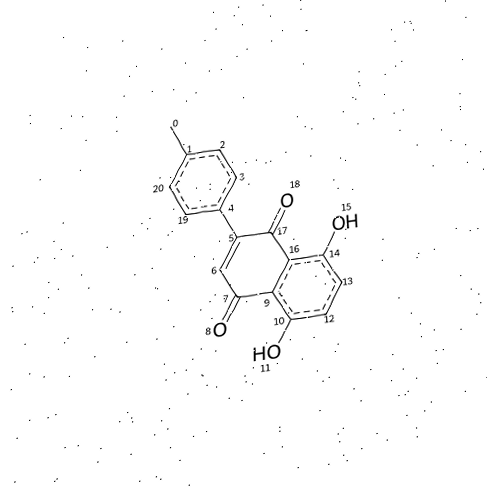 Cc1ccc(C2=CC(=O)c3c(O)ccc(O)c3C2=O)cc1